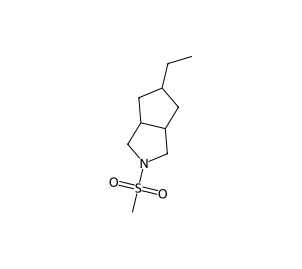 CCC1CC2CN(S(C)(=O)=O)CC2C1